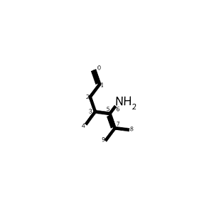 C=CCC(C)C(N)=C(C)C